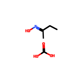 CC/C(C)=N/O.O=C(O)O